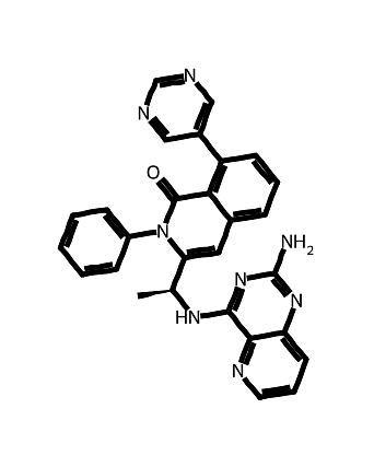 C[C@H](Nc1nc(N)nc2cccnc12)c1cc2cccc(-c3cncnc3)c2c(=O)n1-c1ccccc1